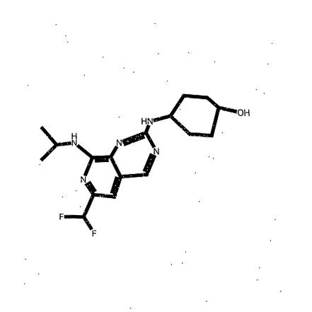 CC(C)Nc1nc(C(F)F)cc2cnc(NC3CCC(O)CC3)nc12